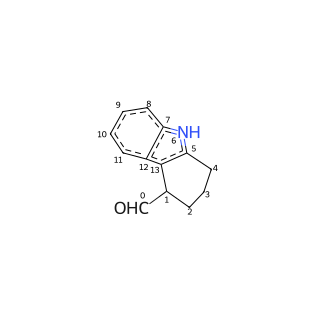 O=CC1CCCc2[nH]c3ccccc3c21